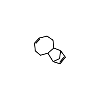 C1=CCCC2C3C=CC(C3)C2CC1